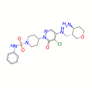 N[C@H]1CCOC[C@@H]1CNc1cnn(C2CCN(S(=O)(=O)Nc3ccccc3)CC2)c(=O)c1Cl